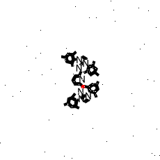 Cc1cc(C)c(-n2ccn(-c3c(C)cc(C)cc3C)c2=NCc2cccc(CN=c3n(-c4c(C)cc(C)cc4C)ccn3-c3c(C)cc(C)cc3C)n2)c(C)c1